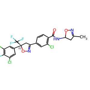 CC1=NOC(NC(=O)c2ccc(C3=NO[C@@](c4cc(Cl)c(F)c(Cl)c4)(C(F)(F)F)C3)cc2Cl)C1